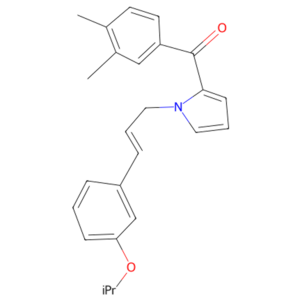 Cc1ccc(C(=O)c2cccn2C/C=C/c2cccc(OC(C)C)c2)cc1C